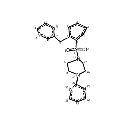 O=S(=O)(c1cc[c]cc1Cc1cccnc1)N1CCN(c2ncccn2)CC1